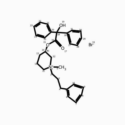 C[N+]1(CCCc2ccccc2)CCC[C@@H](OC(=O)C(O)(c2ccccc2)c2ccccc2)C1.[Br-]